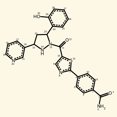 NC(=O)c1ccc(-c2ncc(C(=O)N3NC(c4cccnc4)CC3c3ccccc3O)s2)cc1